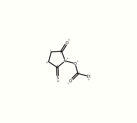 CCC(=O)ON1C(=O)CCC1=S